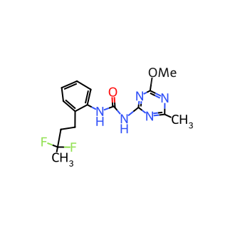 COc1nc(C)nc(NC(=O)Nc2ccccc2CCC(C)(F)F)n1